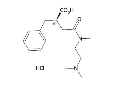 CN(C)CCN(C)C(=O)C[C@@H](Cc1ccccc1)C(=O)O.Cl